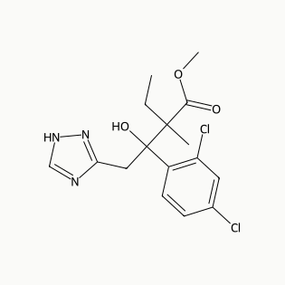 CCC(C)(C(=O)OC)C(O)(Cc1nc[nH]n1)c1ccc(Cl)cc1Cl